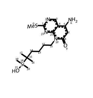 CSc1ncc2c(N)cc(=O)n(CCCCC(C)(C)[Si](C)(C)O)c2n1